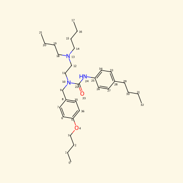 CCCCOc1ccc(CN(CCN(CCCC)CCCC)C(=O)Nc2ccc(CCCC)cc2)cc1